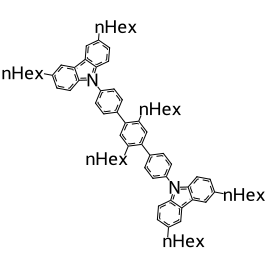 CCCCCCc1ccc2c(c1)c1cc(CCCCCC)ccc1n2-c1ccc(-c2cc(CCCCCC)c(-c3ccc(-n4c5ccc(CCCCCC)cc5c5cc(CCCCCC)ccc54)cc3)cc2CCCCCC)cc1